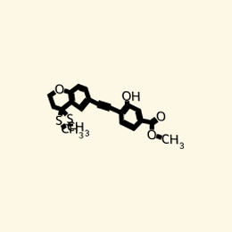 COC(=O)c1ccc(C#Cc2ccc3c(c2)C(SC)(SC)CCO3)c(O)c1